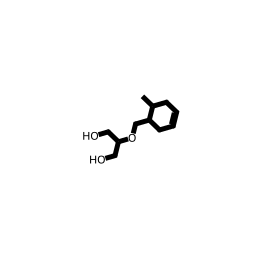 CC1CC=CCC1COC(CO)CO